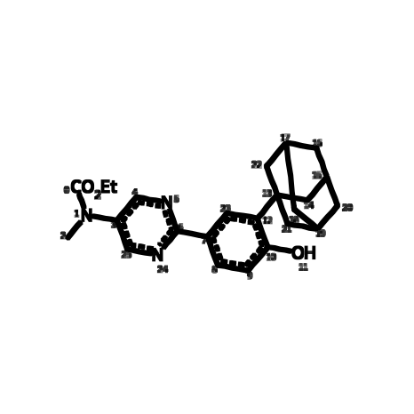 CCOC(=O)N(C)c1cnc(-c2ccc(O)c(C34CC5CC(CC(C5)C3)C4)c2)nc1